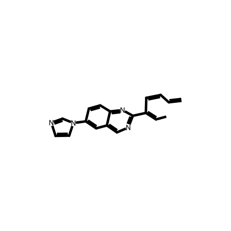 C=C/C=C\C(=C/C)c1ncc2cc(-n3ccnc3)ccc2n1